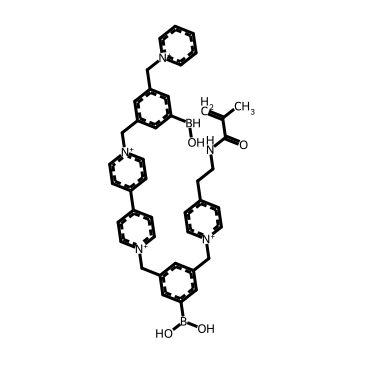 C=C(C)C(=O)NCCc1cc[n+](Cc2cc(C[n+]3ccc(-c4cc[n+](Cc5cc(BO)cc(C[n+]6ccccc6)c5)cc4)cc3)cc(B(O)O)c2)cc1